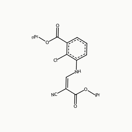 CCCOC(=O)c1cccc(NC=C(C#N)C(=O)OC(C)C)c1Cl